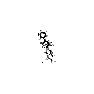 CN1CC2CN(c3ccc(-c4cccnc4)cn3)CC2C1.Cl.Cl